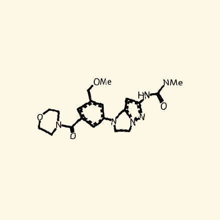 CNC(=O)Nc1cc2n(n1)CCN2c1cc(COC)cc(C(=O)N2CCOCC2)c1